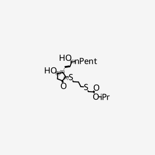 CCCCC[C@H](O)C=C[C@H]1[C@H](O)CC(=O)[C@@H]1SCCCSCC(=O)OC(C)C